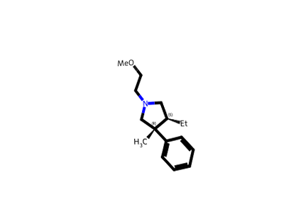 CC[C@@H]1CN(CCOC)C[C@@]1(C)c1ccccc1